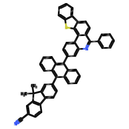 CC1(C)c2cc(C#N)ccc2-c2ccc(-c3c4ccccc4c(-c4ccc5c(c4)nc(-c4ccccc4)c4ccc6c7ccccc7sc6c45)c4ccccc34)cc21